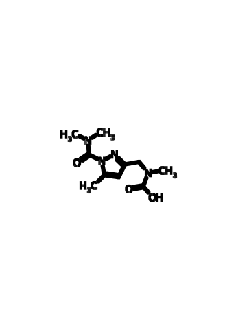 Cc1cc(CN(C)C(=O)O)nn1C(=O)N(C)C